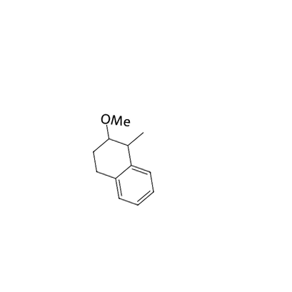 COC1CCc2ccccc2C1C